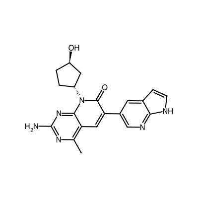 Cc1nc(N)nc2c1cc(-c1cnc3[nH]ccc3c1)c(=O)n2[C@@H]1CC[C@@H](O)C1